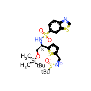 CC(C)(C)[S+]([O-])/N=C\c1ccc([C@@H](CO[Si](C)(C)C(C)(C)C)NS(=O)(=O)c2ccc3ncsc3c2)s1